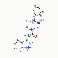 O=C(Nc1n[nH]c2ccccc12)N1CCn2c(nc3ccccc32)C1